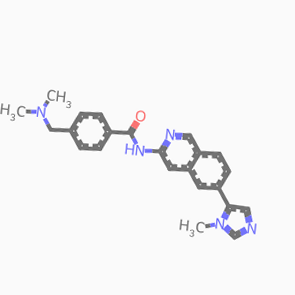 CN(C)Cc1ccc(C(=O)Nc2cc3cc(-c4cncn4C)ccc3cn2)cc1